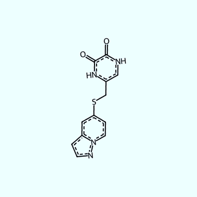 O=c1[nH]cc(CSc2ccn3nccc3c2)[nH]c1=O